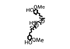 COc1cc(CCC[Si](C)(C)OC(C)C[SiH](C)OC(C)(C)[Si](C)(C)CCCc2ccc(O)c(OC)c2)ccc1O